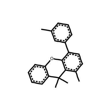 Cc1cccc(-c2ccc(C)c3c2Oc2ccccc2C3(C)C)c1